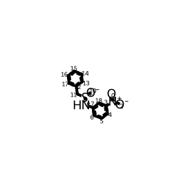 O=[N+]([O-])c1cccc(N[S+]([O-])Cc2ccccc2)c1